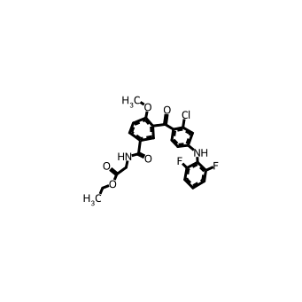 CCOC(=O)CNC(=O)c1ccc(OC)c(C(=O)c2ccc(Nc3c(F)cccc3F)cc2Cl)c1